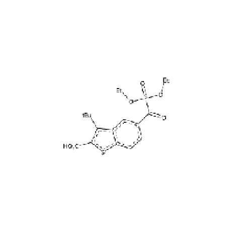 CCOP(=O)(OCC)C(=O)c1ccc2sc(C(=O)O)c(C(C)(C)C)c2c1